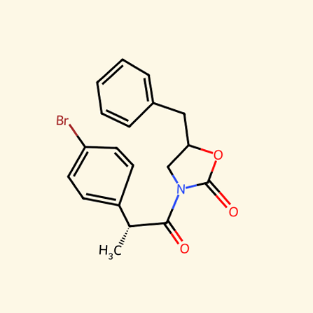 C[C@@H](C(=O)N1CC(Cc2ccccc2)OC1=O)c1ccc(Br)cc1